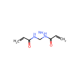 C=CC(=O)NCNC(=O)C=C.N